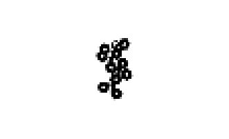 c1ccc(N(c2ccccc2)c2ccc3c(c2)-c2ccc(N(c4ccc5c(c4)oc4ccccc45)c4cccc5ccccc45)cc2S3(c2ccccc2)c2ccccc2)cc1